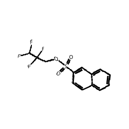 O=S(=O)(OCC(F)(F)C(F)F)c1ccc2ccccc2c1